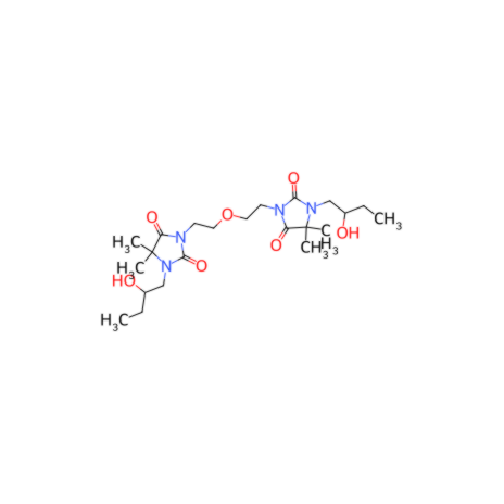 CCC(O)CN1C(=O)N(CCOCCN2C(=O)N(CC(O)CC)C(C)(C)C2=O)C(=O)C1(C)C